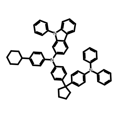 c1ccc(N(c2ccccc2)c2ccc(C3(c4ccc(N(c5ccc(C6CCCCC6)cc5)c5ccc6c7ccccc7n(-c7ccccc7)c6c5)cc4)CCCC3)cc2)cc1